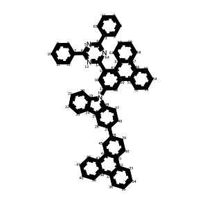 c1ccc(-c2nc(-c3ccccc3)nc(-c3cc(-n4c5ccccc5c5cc(-c6ccc7c8ccccc8c8ccccc8c7c6)ccc54)cc4c5ccccc5c5ccccc5c34)n2)cc1